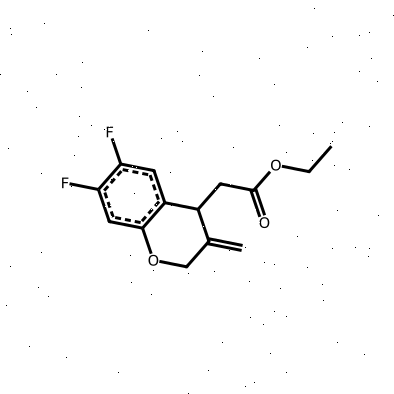 C=C1COc2cc(F)c(F)cc2C1CC(=O)OCC